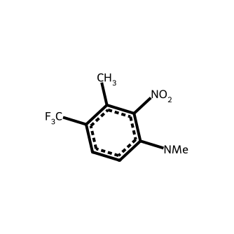 CNc1ccc(C(F)(F)F)c(C)c1[N+](=O)[O-]